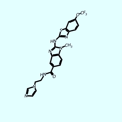 Cn1c(Nc2nc3ccc(OC(F)(F)F)cc3s2)nc2cc(C(=O)NCCn3ccnc3)ccc21